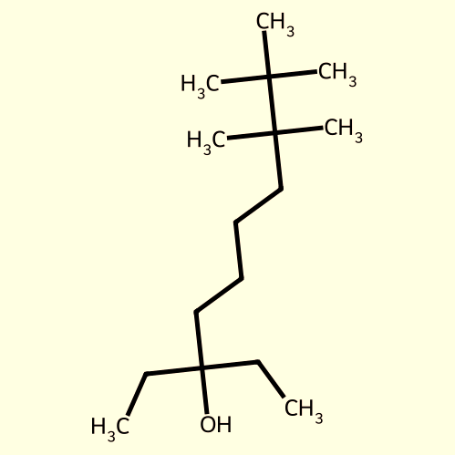 CCC(O)(CC)CCCCC(C)(C)C(C)(C)C